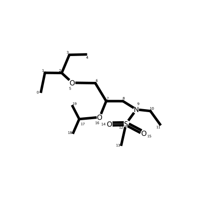 CCC(CC)OCC(CN(CC)S(C)(=O)=O)OC(C)C